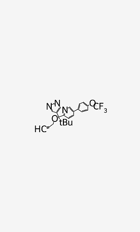 C#CCOC(c1cncnc1)(c1ccc(-c2ccc(OC(F)(F)F)cc2)cn1)C(C)(C)C